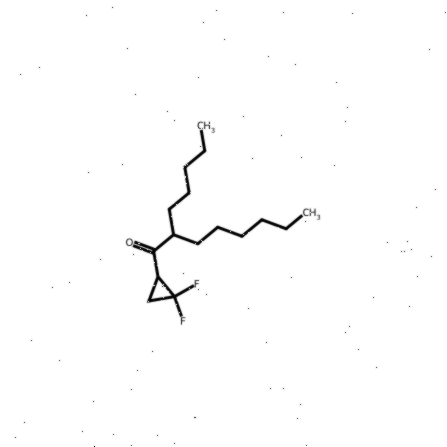 CCCCCCC(CCCCC)C(=O)C1CC1(F)F